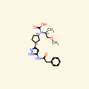 COC[C@H](C)N(C(=O)O)[C@@H]1CC[C@H](c2cc(NC(=O)Cc3ccccc3)[nH]n2)C1